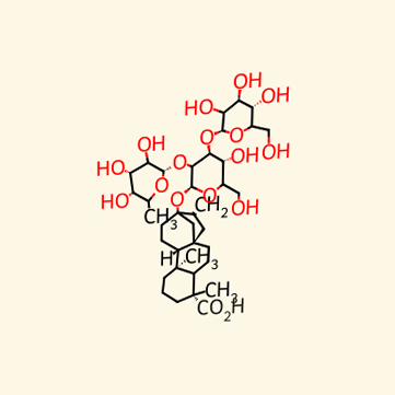 C=C1C[C@@]23CCC4[C@](C)(C(=O)O)CCC[C@@]4(C)[C@@H]2CCC1(O[C@@H]1OC(CO)[C@@H](O)[C@H](O[C@@H]2OC(CO)[C@@H](O)[C@H](O)C2O)C1O[C@@H]1OC(C)[C@H](O)[C@H](O)C1O)C3